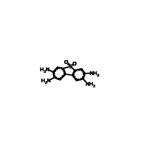 Nc1cc2c(cc1N)S(=O)(=O)c1cc(N)c(N)cc1-2